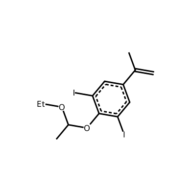 C=C(C)c1cc(I)c(OC(C)OCC)c(I)c1